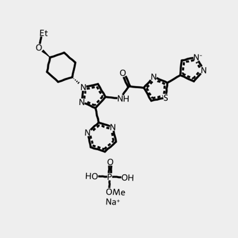 CCO[C@H]1CC[C@H](n2cc(NC(=O)c3csc(-c4cn[n-]c4)n3)c(-c3ncccn3)n2)CC1.COP(=O)(O)O.[Na+]